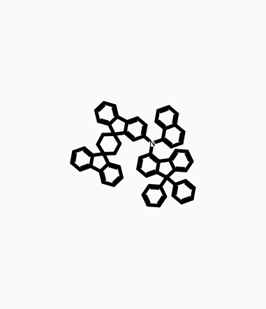 c1ccc(C2(c3ccccc3)c3ccccc3-c3c(N(c4ccc5c(c4)C4(CCC6(CC4)c4ccccc4-c4ccccc46)c4ccccc4-5)c4cccc5ccccc45)cccc32)cc1